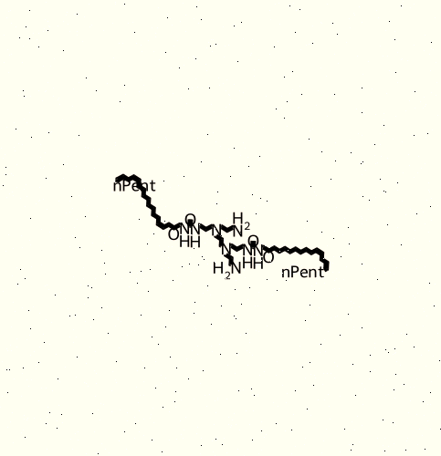 CCCCC/C=C\C/C=C\CCCCCCCC/C=C\CC(=O)CNC(=O)NCCCN(CCCN)CCCN(CCCN)CCCNC(=O)NCC(=O)CCCCCCCC/C=C\C/C=C\CCCCC